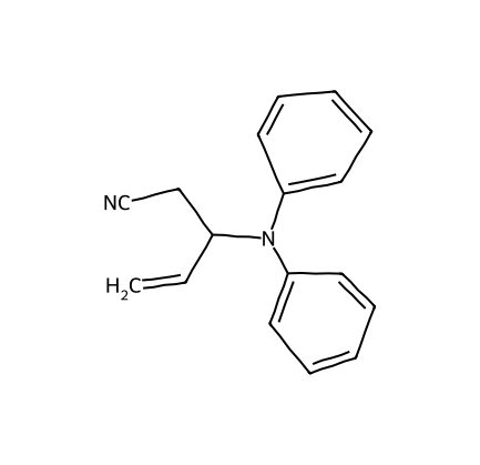 C=CC(CC#N)N(c1ccccc1)c1ccccc1